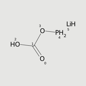 O=C(O)OP.[LiH]